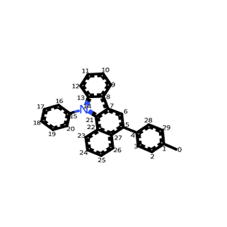 Cc1ccc(-c2cc3c4ccccc4n(-c4ccccc4)c3c3ccccc23)cc1